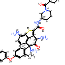 COCC(C)C(=O)N1CCC[C@@H](NC(=O)c2sc3c(N)ccc4c3c2C(N)C(=O)C4(N)c2ccc(Oc3ccccc3)cc2C)C1